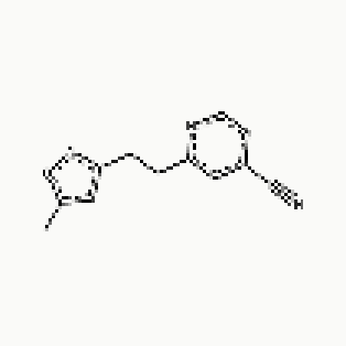 Cc1cc(CCc2cc(C#N)ccn2)no1